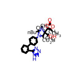 CCCCC1(C)N(c2ccc(-c3ccccc3-c3nnn[nH]3)cc2)C(C(=O)O)C(c2oc(=O)oc2C)(C(C)(C)O)N1C